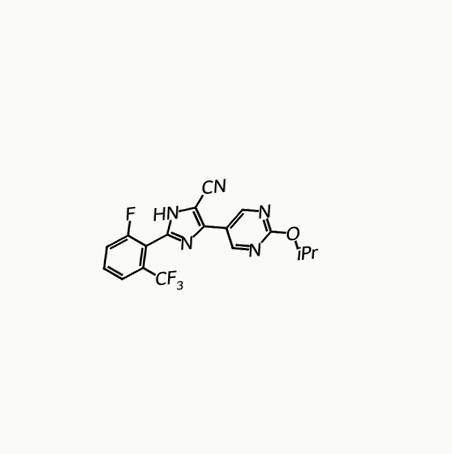 CC(C)Oc1ncc(-c2nc(-c3c(F)cccc3C(F)(F)F)[nH]c2C#N)cn1